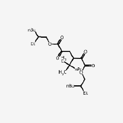 CCCCC(CC)COC(=O)C(=O)CC(C(=O)C(=O)OCC(CC)CCCC)C(C)(C)CCC